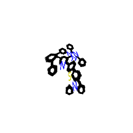 c1ccc(-c2nc(-c3ccccc3)nc(-c3cc(-c4c(-c5ccccc5)cccc4-c4ccccc4)cnc3-c3ccc4c(c3)sc3c4ccc4c5ccccc5n(-c5ccccc5)c43)n2)cc1